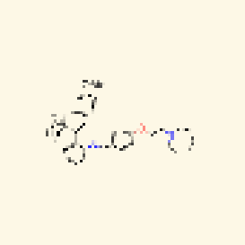 COc1ccc2c(c1)CC(C)(C)C(c1ccccc1NCc1ccc(OCCN3CCCCCC3)cc1)C2